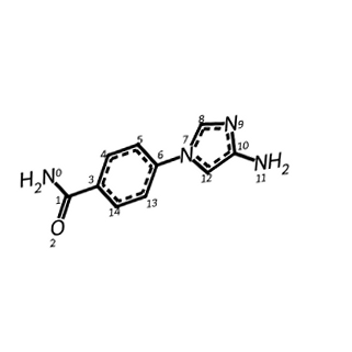 NC(=O)c1ccc(-n2cnc(N)c2)cc1